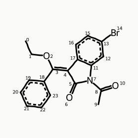 CCOC(=C1C(=O)N(C(C)=O)c2cc(Br)ccc21)c1ccccc1